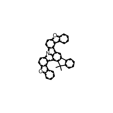 CC1(C)c2ccccc2-c2cc3c4c5c(ccc4n4c6ccc7oc8ccccc8c7c6c(c21)c34)oc1ccccc15